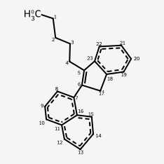 CCCCCC1=C(c2cccc3ccccc23)[CH]c2ccccc21